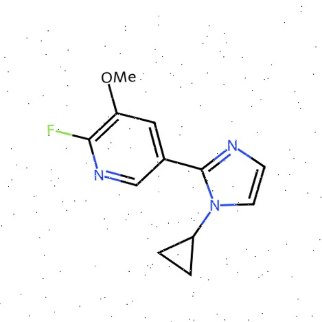 COc1cc(-c2nccn2C2CC2)cnc1F